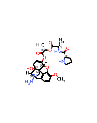 COc1ccc2c3c1O[C@H]1C(OC(=O)[C@H](C)OC(=O)[C@H](C)NC(=O)[C@@H]4CCCN4)=CC[C@@]4(O)[C@@H](C2)N(N)CC[C@]314